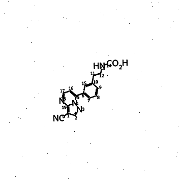 N#Cc1cnn2c(-c3cccc(CCNC(=O)O)c3)ccnc12